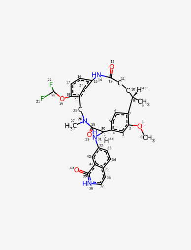 COc1cc2ccc1[C@@H](C)CCC(=O)Nc1ccc(OC(F)F)c(c1)CN(C)C(=O)[C@@H]2Nc1ccc2cc[nH]c(=O)c2c1